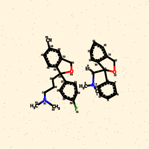 CCC(N(C)C)C1(c2ccccc2)OCc2ccccc21.CN(C)CCCC1(c2ccc(F)cc2)OCc2cc(C#N)ccc21